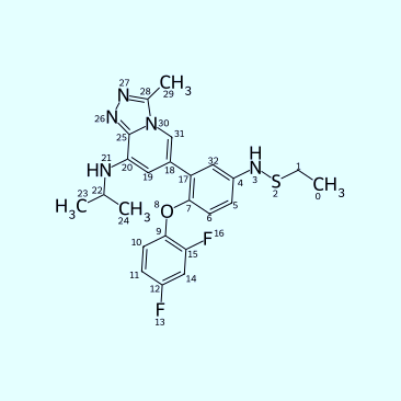 CCSNc1ccc(Oc2ccc(F)cc2F)c(-c2cc(NC(C)C)c3nnc(C)n3c2)c1